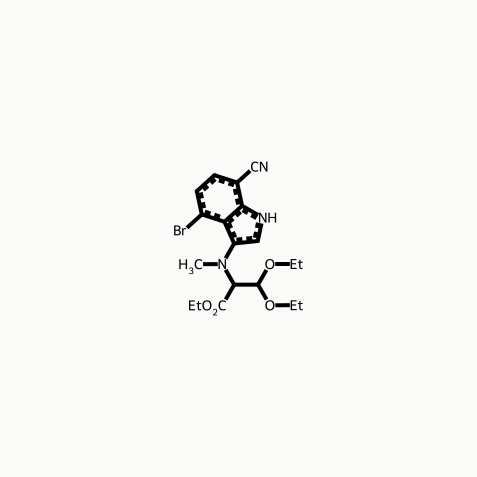 CCOC(=O)C(C(OCC)OCC)N(C)c1c[nH]c2c(C#N)ccc(Br)c12